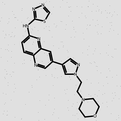 c1nnc(Nc2ccc3ncc(-c4cnn(CCN5CCOCC5)c4)cc3n2)s1